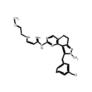 COCCN/C=C\C(=N)Nc1ncc2c(n1)-c1c(nn(C)c1Cc1cccc(Cl)c1)CC2